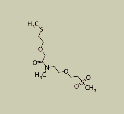 CSCCOCC(=O)N(C)CCOCCS(C)(=O)=O